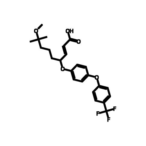 COC(C)(C)CCCC(C=CC(=O)O)Oc1ccc(Oc2ccc(C(F)(F)F)cc2)cc1